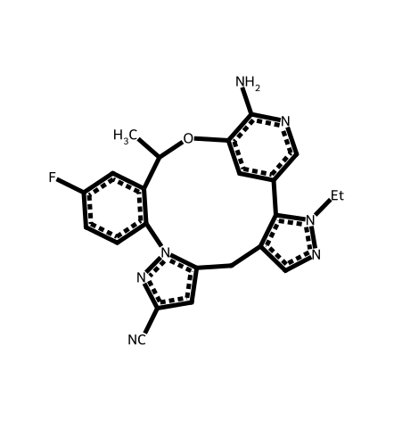 CCn1ncc2c1-c1cnc(N)c(c1)OC(C)c1cc(F)ccc1-n1nc(C#N)cc1C2